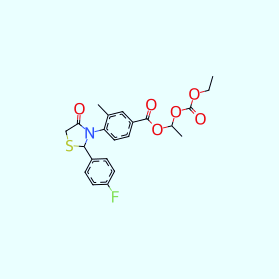 CCOC(=O)OC(C)OC(=O)c1ccc(N2C(=O)CSC2c2ccc(F)cc2)c(C)c1